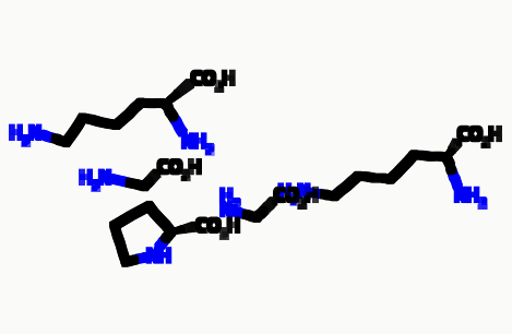 NCC(=O)O.NCC(=O)O.NCCCC[C@H](N)C(=O)O.NCCCC[C@H](N)C(=O)O.O=C(O)[C@@H]1CCCN1